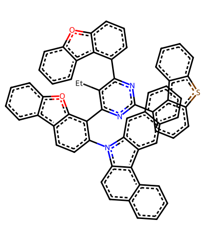 CCc1c(-c2c(-n3c4cc5ccccc5cc4c4c5ccccc5ccc43)ccc3c2oc2ccccc23)nc(-c2cccc3sc4ccccc4c23)nc1-c1cccc2oc3ccccc3c12